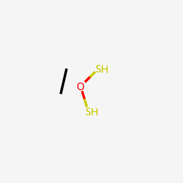 CC.SOS